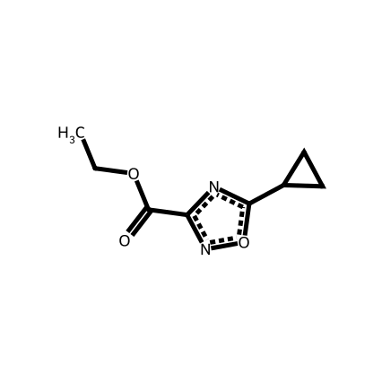 CCOC(=O)c1noc(C2CC2)n1